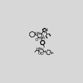 C=CC(C=C)n1nccc1C(=O)N[C@H](C(=O)Nc1ccc(C[C@@H](NC(=O)CC)C(=O)N2CCN(C)CC2)cc1)C1CCCCCC1